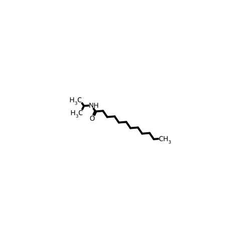 CCCCCCCCCCCC(=O)NC(C)C